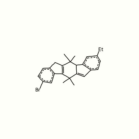 CCc1ccc2c(c1)C1C(=C2)C(C)(C)C2=C(Cc3ccc(Br)cc32)C1(C)C